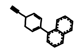 C#C[C]1C=CC(c2cccc3ccccc23)=CC1